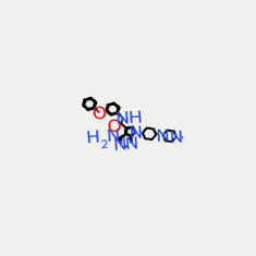 CN1CCN(C2CCC(n3cc(C(=O)Nc4cccc(Oc5ccccc5)c4)c4c(N)ncnc43)CC2)CC1